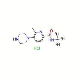 Cl.[2H]C([2H])([2H])NC(=O)c1ccc(N2CCNCC2)c(C)n1